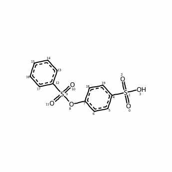 O=S(=O)(O)c1ccc(OS(=O)(=O)c2ccccc2)cc1